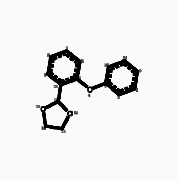 c1ccc(Oc2ccccc2C2OCCO2)cc1